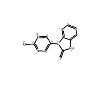 O=c1[nH]c2cccnc2n1-c1cnc(Cl)nc1